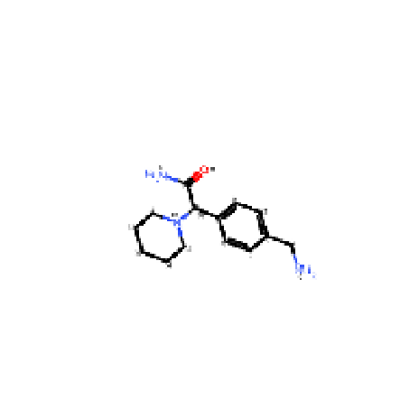 NCc1ccc([C@H](C(N)=O)N2CCCCC2)cc1